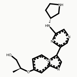 C[C@@H](CO)Oc1ccn2c(-c3cncc(N[C@@H]4CCNC4)n3)cnc2c1